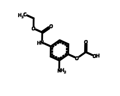 CCOC(=O)Nc1ccc(OC(=O)O)c(N)c1